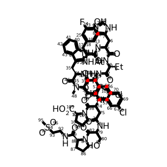 CC[C@H](NC(=O)C(Cc1cnc[nH]1)N(C)C(=O)C(Cc1ccc(O)c(F)c1)NC(C)=O)C(=O)N[C@H](C(=O)N[C@H](Cc1c[nH]c2ccccc12)C(=O)N(C)C(Cc1ccc(Cl)cc1)C(=O)N(C)[C@@H](Cc1ccc(Cl)cc1)C(=O)NC(CC(=O)NC(CO)C(=O)N1CCC[C@H]1C(=O)NCCS(C)(=O)=O)C(=O)N1CCC[C@H]1C(=O)O)[C@@H](C)O